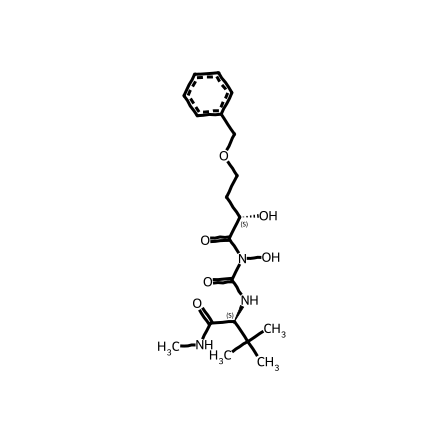 CNC(=O)[C@@H](NC(=O)N(O)C(=O)[C@@H](O)CCOCc1ccccc1)C(C)(C)C